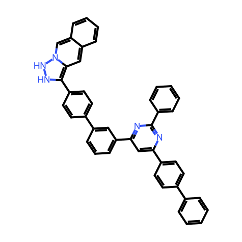 C1=c2ccccc2=CN2NNC(c3ccc(-c4cccc(-c5cc(-c6ccc(-c7ccccc7)cc6)nc(-c6ccccc6)n5)c4)cc3)=C12